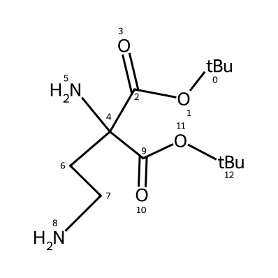 CC(C)(C)OC(=O)C(N)(CCN)C(=O)OC(C)(C)C